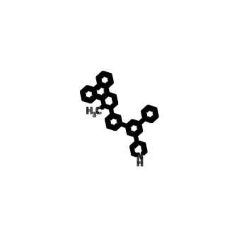 CC1c2c(c3ccccc3c3ccccc23)C=CC1c1cccc(-c2cc(C3=CCNC=C3)cc(-c3ccccc3)c2)c1